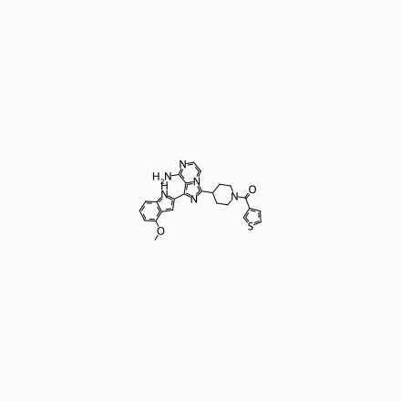 COc1cccc2[nH]c(-c3nc(C4CCN(C(=O)c5ccsc5)CC4)n4ccnc(N)c34)cc12